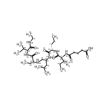 CCC[C@H](NC(=O)[C@@H](NC(=O)CCCC(=O)O)[C@@H](C)CC)C(=O)N[C@H](CN[C@@H](CC)C(=O)N[C@H](C(=O)NCC)C(C)C)CC(C)C